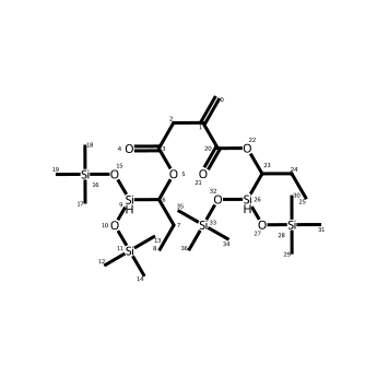 C=C(CC(=O)OC(CC)[SiH](O[Si](C)(C)C)O[Si](C)(C)C)C(=O)OC(CC)[SiH](O[Si](C)(C)C)O[Si](C)(C)C